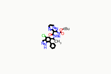 CC(NC(=O)c1c(NC(=O)OC(C)(C)C)nn2cccnc12)c1cc(Cl)c2cn[nH]c2c1-c1ccccc1